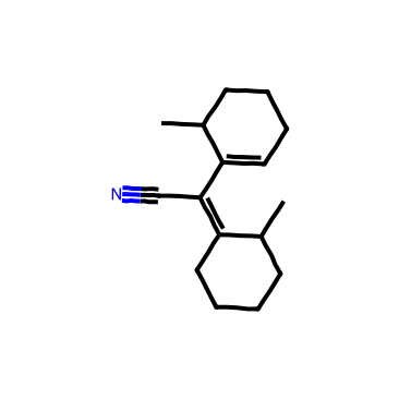 CC1CCCC=C1C(C#N)=C1CCCCC1C